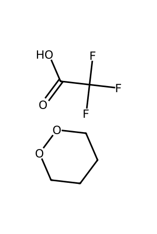 C1CCOOC1.O=C(O)C(F)(F)F